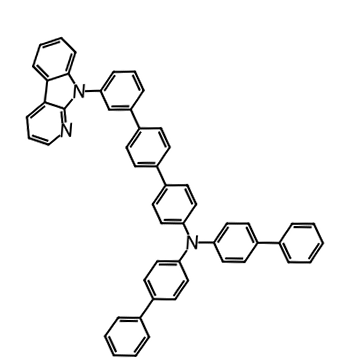 c1ccc(-c2ccc(N(c3ccc(-c4ccccc4)cc3)c3ccc(-c4ccc(-c5cccc(-n6c7ccccc7c7cccnc76)c5)cc4)cc3)cc2)cc1